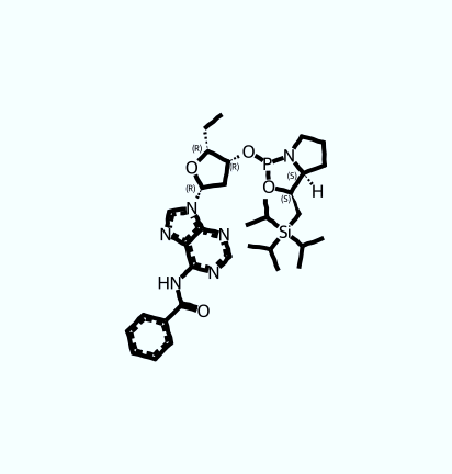 CC[C@H]1O[C@@H](n2cnc3c(NC(=O)c4ccccc4)ncnc32)C[C@H]1OP1O[C@H](C[Si](C(C)C)(C(C)C)C(C)C)[C@@H]2CCCN21